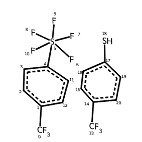 FC(F)(F)c1ccc(S(F)(F)(F)(F)F)cc1.FC(F)(F)c1ccc(S)cc1